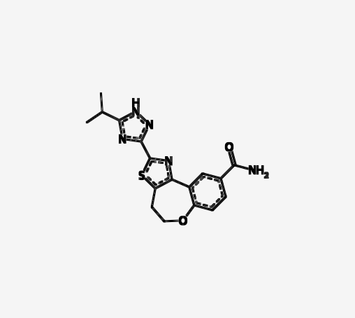 CC(C)c1nc(-c2nc3c(s2)CCOc2ccc(C(N)=O)cc2-3)n[nH]1